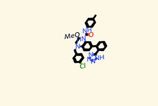 COCCN(Cc1ccc(Cl)cc1)c1ccc(-c2ccccc2-c2nnn[nH]2)cc1NC(=O)Nc1ccc(C)cc1